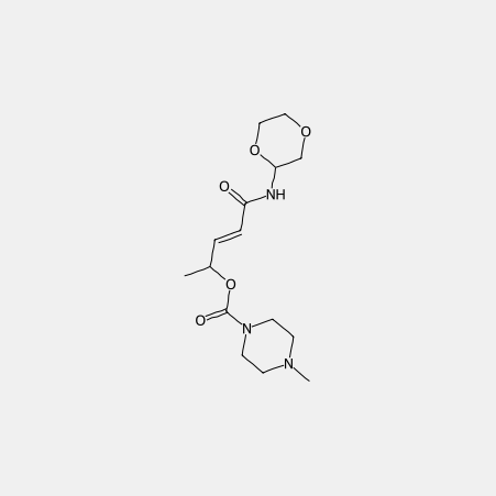 CC(C=CC(=O)NC1COCCO1)OC(=O)N1CCN(C)CC1